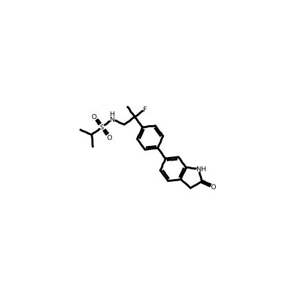 CC(C)S(=O)(=O)NCC(C)(F)c1ccc(-c2ccc3c(c2)NC(=O)C3)cc1